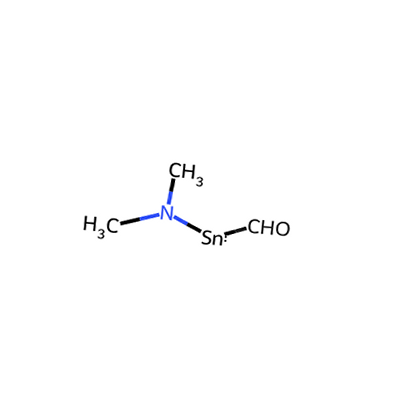 C[N](C)[Sn][CH]=O